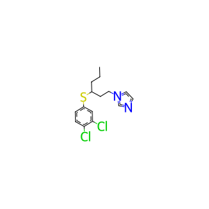 CCCC(CCn1ccnc1)Sc1ccc(Cl)c(Cl)c1